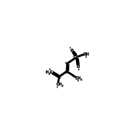 C=C(C)C(C)=CS(=O)(=O)O